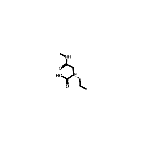 CCC[C@@H](CC(=O)NC)C(=O)O